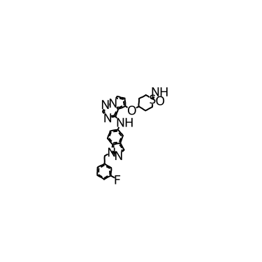 N=S1(=O)CCC(Oc2ccn3ncnc(Nc4ccc5c(cnn5Cc5cccc(F)c5)c4)c23)CC1